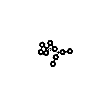 c1ccc(-c2ccc(N(c3ccc(-c4ccccc4)cc3)c3ccc(-c4ccccc4-c4oc5ccccc5c4-c4ccccc4-c4ccccc4)cc3)cc2)cc1